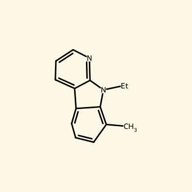 CCn1c2ncccc2c2cccc(C)c21